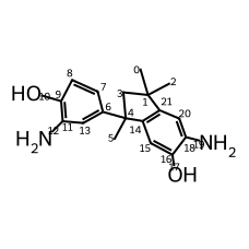 CC1(C)CC(C)(c2ccc(O)c(N)c2)c2cc(O)c(N)cc21